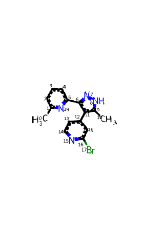 Cc1cccc(-c2n[nH]c(C)c2-c2ccnc(Br)c2)n1